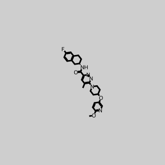 COc1ccc(OC2CCN(c3nnc(C(=O)N[C@H]4CCc5cc(F)ccc5C4)cc3C)CC2)cn1